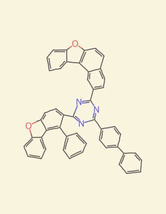 c1ccc(-c2ccc(-c3nc(-c4ccc5ccc6oc7ccccc7c6c5c4)nc(-c4ccc5oc6ccccc6c5c4-c4ccccc4)n3)cc2)cc1